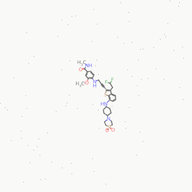 CNC(=O)c1ccc(NCC#Cc2sc3c(NC4CCC(N5CCS(=O)(=O)CC5)CC4)cccc3c2CC(F)F)c(OC)c1